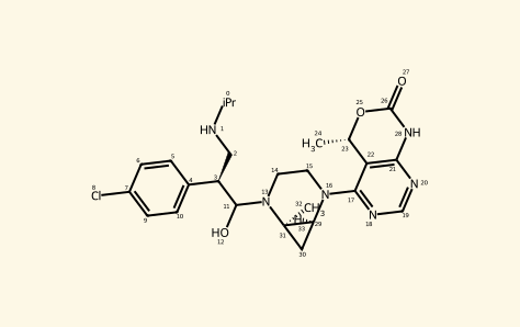 CC(C)NC[C@H](c1ccc(Cl)cc1)C(O)N1CCN(c2ncnc3c2[C@H](C)OC(=O)N3)[C@H]2C[C@]21C